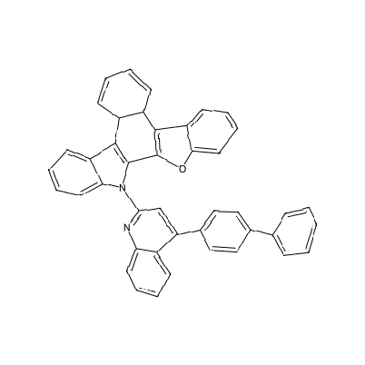 C1=CC2c3c(oc4ccccc34)-c3c(c4ccccc4n3-c3cc(-c4ccc(-c5ccccc5)cc4)c4ccccc4n3)C2C=C1